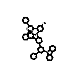 N#Cc1ccc(-n2c3ccccc3c3cc(-c4cc(-c5ccccc5)cc(-n5c6ccccc6c6ccccc65)c4)ccc32)c(-c2nc(-c3ccccc3)nc(-c3ccccc3)n2)c1